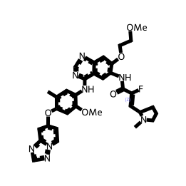 COCCOc1cc2ncnc(Nc3cc(C)c(Oc4ccn5ncnc5c4)cc3OC)c2cc1NC(=O)/C(F)=C/C1CCCN1C